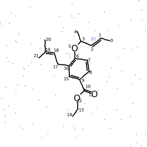 C/C=C/C(C)Oc1ccc(C(=O)OCC)cc1CC=C(C)C